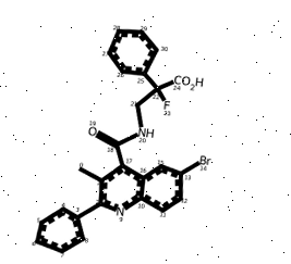 Cc1c(-c2ccccc2)nc2ccc(Br)cc2c1C(=O)NCC(F)(C(=O)O)c1ccccc1